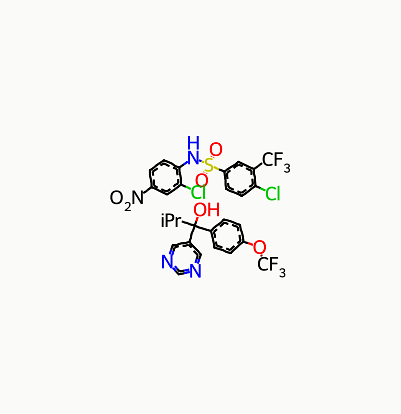 CC(C)C(O)(c1ccc(OC(F)(F)F)cc1)c1cncnc1.O=[N+]([O-])c1ccc(NS(=O)(=O)c2ccc(Cl)c(C(F)(F)F)c2)c(Cl)c1